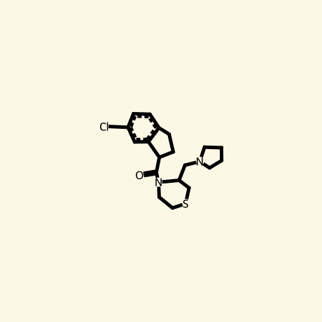 O=C(C1CCc2ccc(Cl)cc21)N1CCSCC1CN1CCCC1